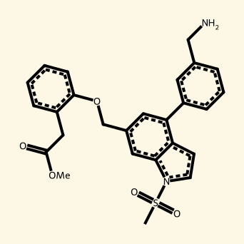 COC(=O)Cc1ccccc1OCc1cc(-c2cccc(CN)c2)c2ccn(S(C)(=O)=O)c2c1